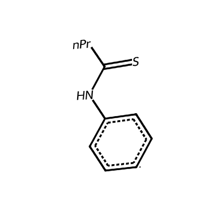 CCCC(=S)Nc1cc[c]cc1